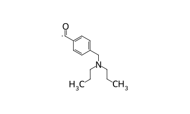 CCCN(CCC)Cc1ccc([C]=O)cc1